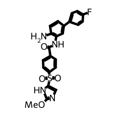 COc1ncc(S(=O)(=O)c2ccc(C(=O)Nc3cc(-c4ccc(F)cc4)ccc3N)cc2)[nH]1